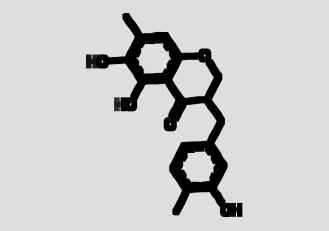 Cc1ccc(CC2COc3cc(C)c(O)c(O)c3C2=O)cc1O